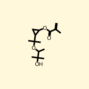 C=C(C)C(=O)OC1CC1C(C)(C)OC(C)C(C)(C)O